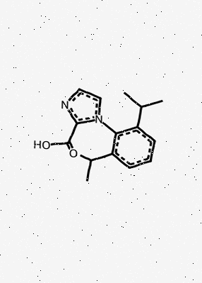 CC(C)c1cccc(C(C)C)c1-n1ccnc1C(=O)O